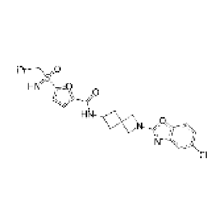 CC(C)CS(=N)(=O)c1ccc(C(=O)NC2CC3(C2)CN(c2nc4cc(Cl)ccc4o2)C3)o1